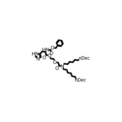 CCCCCCCCCCCCCCCCN(CCCCCCCCCCCCCCCC)C(=O)COCCOC(=O)C(Cc1cnc[nH]1)NC(=O)OCc1ccccc1